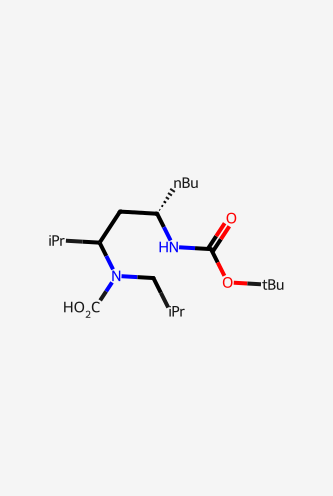 CCCC[C@@H](CC(C(C)C)N(CC(C)C)C(=O)O)NC(=O)OC(C)(C)C